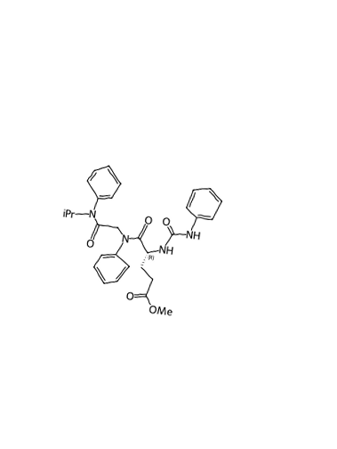 COC(=O)CC[C@@H](NC(=O)Nc1ccccc1)C(=O)N(CC(=O)N(c1ccccc1)C(C)C)c1ccccc1